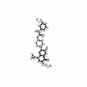 O=C(CN1CCN(c2cc3c(cc2F)c(=O)c(C(=O)O)cn3C2CC2)CC1)Nc1cccc(C(F)(F)F)c1